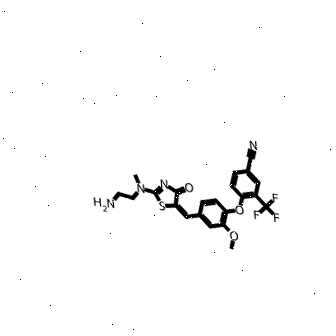 COc1cc(/C=C2/SC(N(C)CCN)=NC2=O)ccc1Oc1ccc(C#N)cc1C(F)(F)F